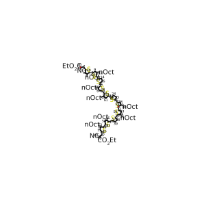 [C-]#[N+]/C(=C\c1cc(CCCCCCCC)c(-c2cc(CCCCCCCC)c(-c3ccc(-c4sc(-c5sc(-c6ccc(-c7cc(CCCCCCCC)c(-c8cc(CCCCCCCC)c(-c9ccc(-c%10sc(-c%11sc(/C=C(\C#N)C(=O)OCC)cc%11CCCCCCCC)cc%10CCCCCCCC)s9)s8)s7)s6)cc5CCCCCCCC)cc4CCCCCCCC)s3)s2)s1)C(=O)OCC